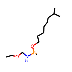 CCOCNP(C)OCCCCCCC(C)C